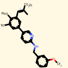 CCOC(=O)/C(C)=C/c1cc(-c2ccc(NCc3cccc(OC(F)(F)F)c3)nc2)cc(C#N)c1OC